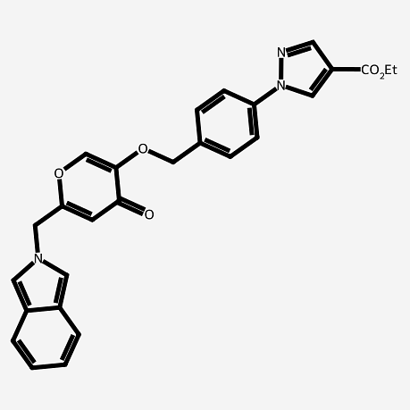 CCOC(=O)c1cnn(-c2ccc(COc3coc(Cn4cc5ccccc5c4)cc3=O)cc2)c1